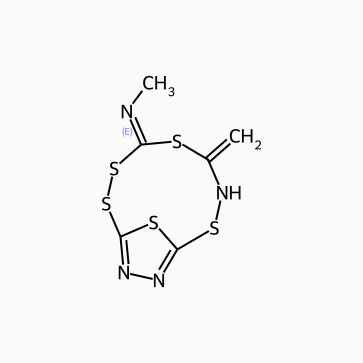 C=C1NSc2nnc(s2)SS/C(=N/C)S1